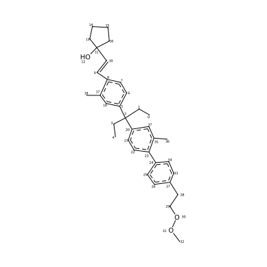 CCC(CC)(c1ccc(/C=C/C2(O)CCCC2)c(C)c1)c1ccc(-c2ccc(CCOOC)cc2)c(C)c1